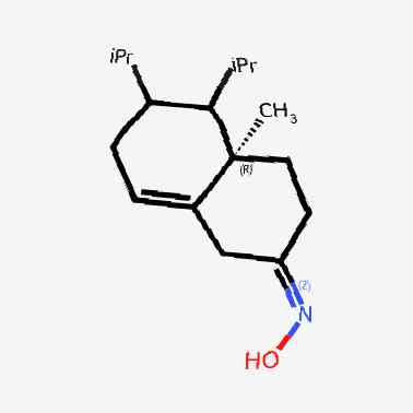 CC(C)C1CC=C2C/C(=N\O)CC[C@]2(C)C1C(C)C